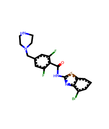 O=C(Nc1nc2c(Br)cccc2s1)c1c(F)cc(CN2CCNCC2)cc1F